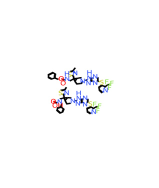 Cc1csc(C2(CN(Cc3ccccc3)C(=O)O)C3CCN(c4nc5nc(Sc6cccnc6C(F)(F)F)cnc5[nH]4)CC32)n1.Cc1csc(C2(CNC(=O)OCc3ccccc3)C3CCN(c4nc5nc(Sc6cccnc6C(F)(F)F)cnc5[nH]4)CC32)n1